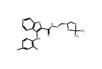 CC1(C)OC[C@H](CONC(=O)c2oc3cnccc3c2Nc2ccc(I)cc2F)O1